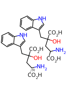 NC(CC(O)(Cc1c[nH]c2ccccc12)C(=O)O)C(=O)O.N[C@@H](CC(O)(Cc1c[nH]c2ccccc12)C(=O)O)C(=O)O